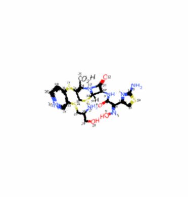 Nc1nc(/C(=N/O)C(=O)N[C@@H]2C(=O)N3C(C(=O)O)=C(Sc4ccncc4SCC(N)CO)CS[C@@H]23)cs1